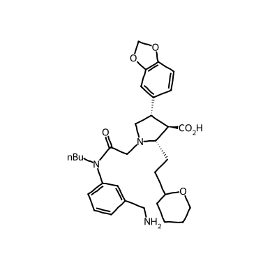 CCCCN(C(=O)CN1C[C@H](c2ccc3c(c2)OCO3)[C@@H](C(=O)O)[C@@H]1CCC1CCCCO1)c1cccc(CN)c1